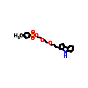 Cc1ccc(S(=O)(=O)OCCOCCOCCCc2ccc3c(c2)[nH]c2ccccc23)cc1